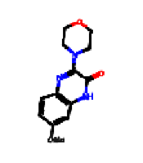 COc1ccc2nc(N3CCOCC3)c(=O)[nH]c2c1